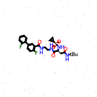 CC(C)(C)NC(=O)C[C@H](NS(=O)(=O)C1CC1)C(=O)NCCNC(=O)c1cc(-c2ccccc2F)ccc1F